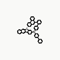 c1ccc(-c2ccc(N(c3ccc(-c4ccccc4-c4cc5ccccc5c5ccccc45)cc3)c3ccc4c(c3)sc3cc5ccccc5cc34)cc2)cc1